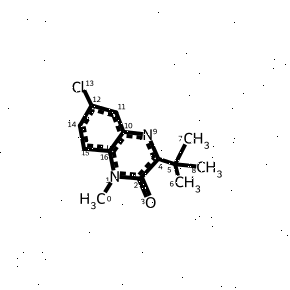 Cn1c(=O)c(C(C)(C)C)nc2cc(Cl)ccc21